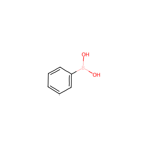 OB(O)c1c[c]ccc1